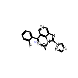 CCn1c(-n2cncn2)nc2cncc(/C(=N\OC)c3ccccc3F)c21